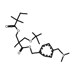 CCC(C)(C)C(=O)OCC(C)(COC(C)(C)C)C(=O)OCc1ccc(CN(C)C)cc1